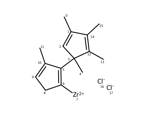 CC1=CC(C)(C2=[C]([Zr+2])CC=C2C)C(C)=C1C.[Cl-].[Cl-]